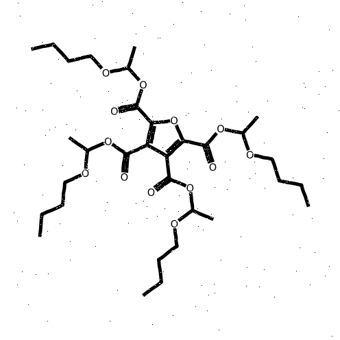 CCCCOC(C)OC(=O)c1oc(C(=O)OC(C)OCCCC)c(C(=O)OC(C)OCCCC)c1C(=O)OC(C)OCCCC